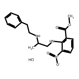 COC(=O)c1cccc([N+](=O)[O-])c1NCC(C)NCCc1ccccc1.Cl